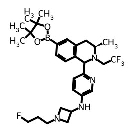 C[C@@H]1Cc2cc(B3OC(C)(C)C(C)(C)O3)ccc2C(c2ccc(NC3CN(CCCF)C3)cn2)N1CC(F)(F)F